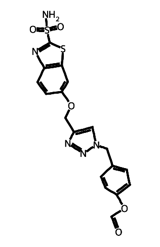 NS(=O)(=O)c1nc2ccc(OCc3cn(Cc4ccc(OC=O)cc4)nn3)cc2s1